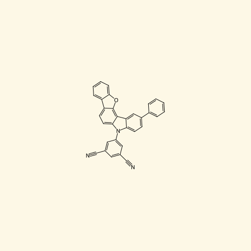 N#Cc1cc(C#N)cc(-n2c3ccc(-c4ccccc4)cc3c3c4oc5ccccc5c4ccc32)c1